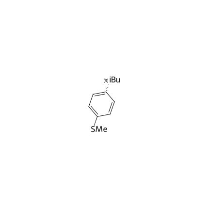 CC[C@@H](C)c1ccc(SC)cc1